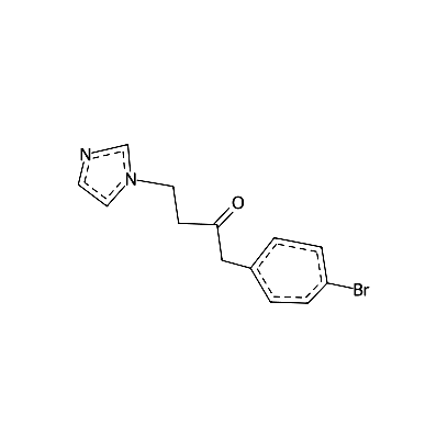 O=C(CCn1ccnc1)Cc1ccc(Br)cc1